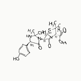 CC1(C)S[C@@H]2[C@H](N3C(=O)[C@@H](c4ccc(O)cc4)NC3(C)C)C(=O)N2[C@H]1C(=O)O